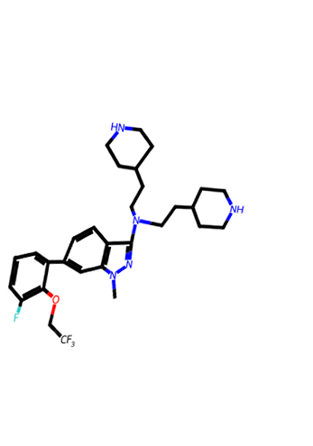 Cn1nc(N(CCC2CCNCC2)CCC2CCNCC2)c2ccc(-c3cccc(F)c3OCC(F)(F)F)cc21